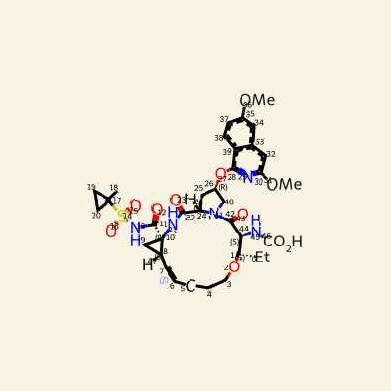 CC[C@@H]1OCCC/C=C\[C@@H]2C[C@@]2(C(=O)NS(=O)(=O)C2(C)CC2)NC(=O)[C@@H]2C[C@@H](Oc3nc(OC)cc4cc(OC)ccc34)CN2C(=O)[C@H]1NC(=O)O